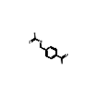 CC(=O)NCc1ccc(C(C)=O)cc1